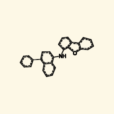 c1ccc(-c2ccc(Nc3cccc4c3oc3ccccc34)c3ccccc23)cc1